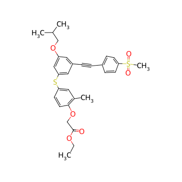 CCOC(=O)COc1ccc(Sc2cc(C#Cc3ccc(S(C)(=O)=O)cc3)cc(OCC(C)C)c2)cc1C